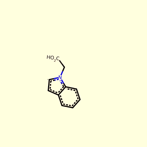 O=C(O)Cn1[c]cc2ccccc21